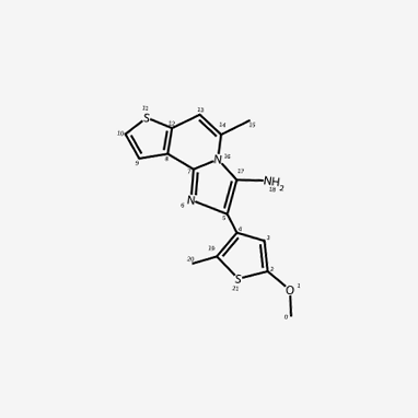 COc1cc(-c2nc3c4ccsc4cc(C)n3c2N)c(C)s1